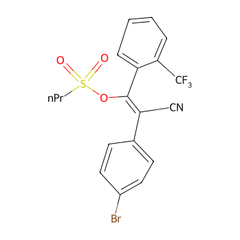 CCCS(=O)(=O)OC(=C(C#N)c1ccc(Br)cc1)c1ccccc1C(F)(F)F